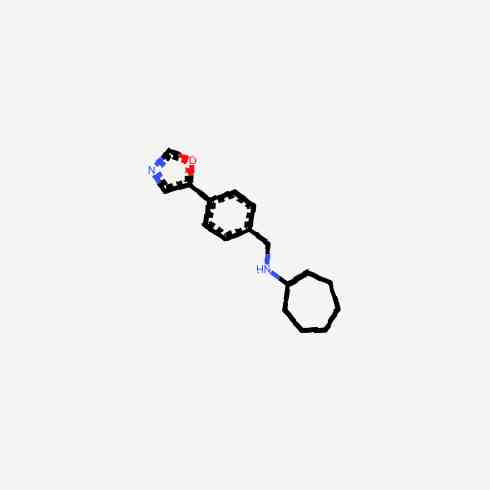 c1ncc(-c2ccc(CNC3CCCCCC3)cc2)o1